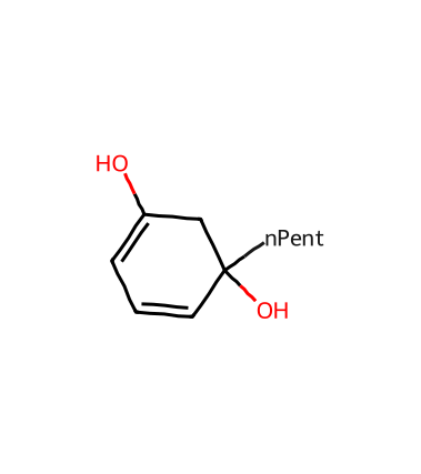 CCCCCC1(O)C=CC=C(O)C1